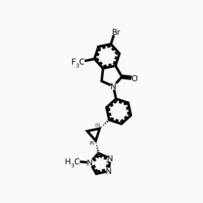 Cn1cnnc1[C@@H]1C[C@@H]1c1cccc(N2Cc3c(cc(Br)cc3C(F)(F)F)C2=O)c1